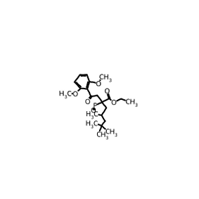 CCOC(=O)C(CC(=O)c1c(OC)cccc1OC)(CC(C)CC(C)(C)C)P=O